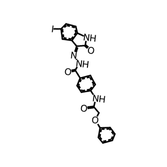 O=C(COc1ccccc1)Nc1ccc(C(=O)N/N=C2\C(=O)Nc3ccc(I)cc32)cc1